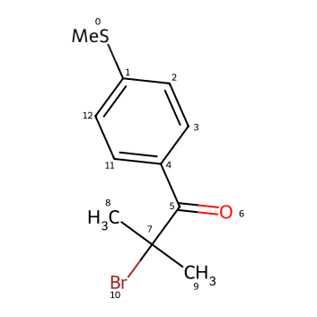 CSc1ccc(C(=O)C(C)(C)Br)cc1